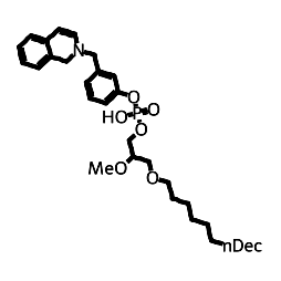 CCCCCCCCCCCCCCCCOCC(COP(=O)(O)Oc1cccc(CN2C=Cc3ccccc3C2)c1)OC